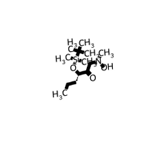 CCC[C@H](O[Si](C)(C)C(C)(C)C)C(=O)CN(C)O